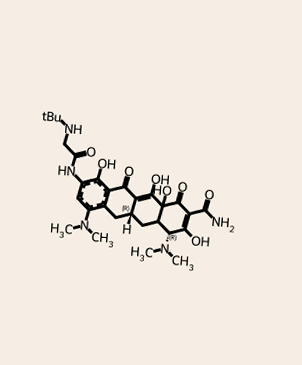 CN(C)c1cc(NC(=O)CNC(C)(C)C)c(O)c2c1C[C@H]1CC3[C@@H](N(C)C)C(O)=C(C(N)=O)C(=O)C3(O)C(O)=C1C2=O